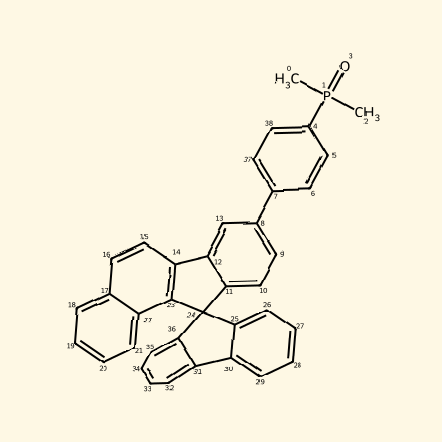 CP(C)(=O)c1ccc(-c2ccc3c(c2)-c2ccc4ccccc4c2C32c3ccccc3-c3ccccc32)cc1